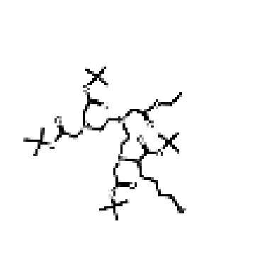 CCOC(=O)CN(CCN(CC(=O)OC(C)(C)C)CC(=O)OC(C)(C)C)CCN(CC(=O)OC(C)(C)C)C(CCCCBr)C(=O)OC(C)(C)C